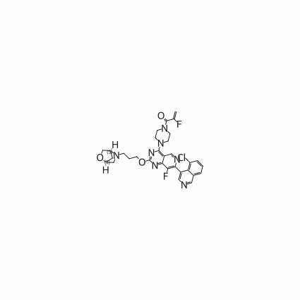 C=C(F)C(=O)N1CCN(c2nc(OCCCN3C[C@@H]4C[C@H]3CO4)nc3c(F)c(-c4cncc5cccc(Cl)c45)ncc23)CC1